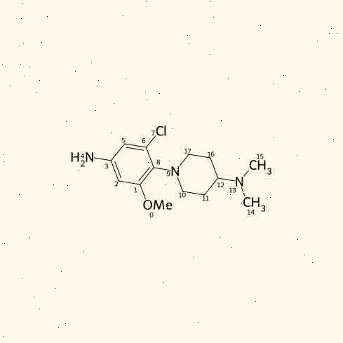 COc1cc(N)cc(Cl)c1N1CCC(N(C)C)CC1